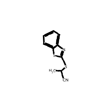 CC(C#N)Sc1nc2ccccc2s1